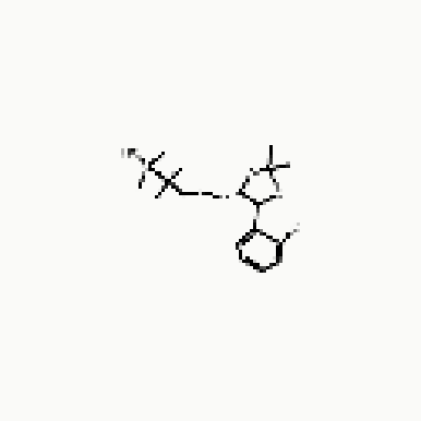 CC1(C)O[C@@H](CCCC(C)(C)[Si](C)(C)O)[C@H](c2ccccc2Cl)O1